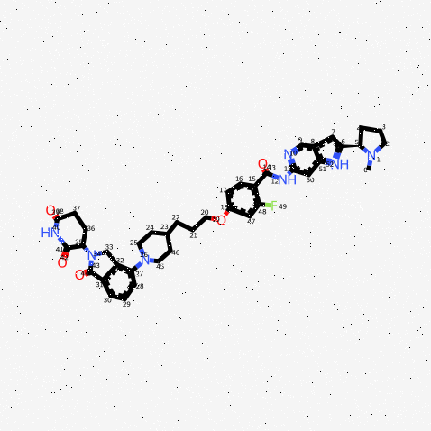 CN1CCC[C@@H]1c1cc2cnc(NC(=O)c3ccc(OCCCC4CCN(c5cccc6c5CN(C5CCC(=O)NC5=O)C6=O)CC4)cc3F)cc2[nH]1